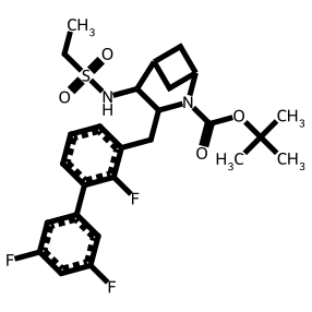 CCS(=O)(=O)NC1C2CC(C2)N(C(=O)OC(C)(C)C)C1Cc1cccc(-c2cc(F)cc(F)c2)c1F